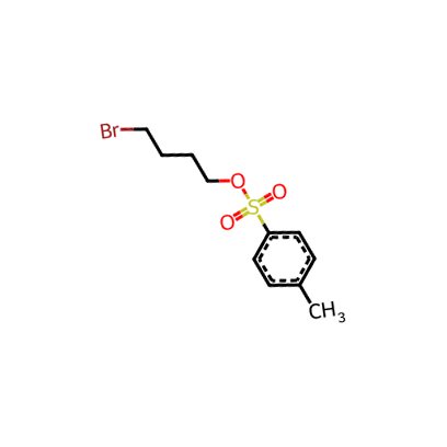 Cc1ccc(S(=O)(=O)OCCCCBr)cc1